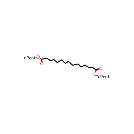 CCCCCOC(=O)CCCCCCCCCCCCCC(=O)OCCCCC